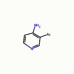 CC(=O)c1cnccc1N